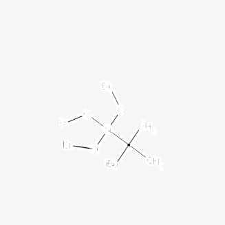 CCO[Si](OCC)(OCC)C(C)(C)C(C)CC